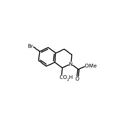 COC(=O)N1CCc2cc(Br)ccc2C1C(=O)O